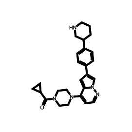 O=C(C1CC1)N1CCN(c2ccnn3cc(-c4ccc(C5CCCNC5)cc4)cc23)CC1